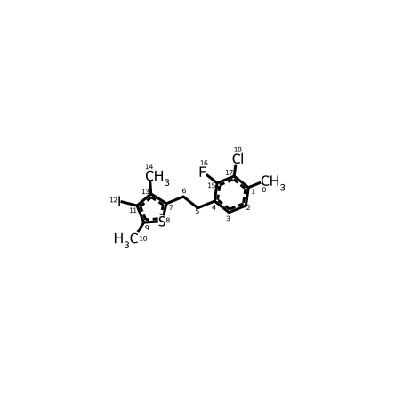 Cc1ccc(CCc2sc(C)c(I)c2C)c(F)c1Cl